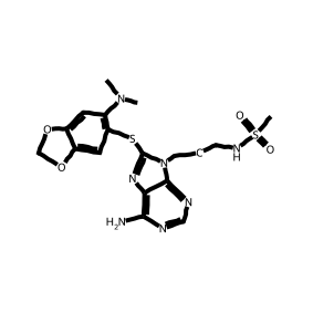 CN(C)c1cc2c(cc1Sc1nc3c(N)ncnc3n1CCCNS(C)(=O)=O)OCO2